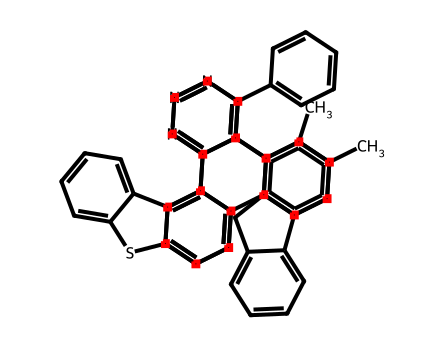 Cc1cc2c(c(-c3c(-c4ccccc4)nnnc3-c3c(-c4ccccc4-c4ccccc4-c4ccccc4)ccc4sc5ccccc5c34)c1C)Cc1ccccc1-2